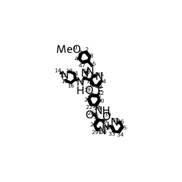 COc1ccc(Cn2nc(NC3CCN(C)CC3)c3c(Oc4ccc(NC(=O)c5ccnn(-c6ccccn6)c5=O)cc4F)ccnc32)cc1